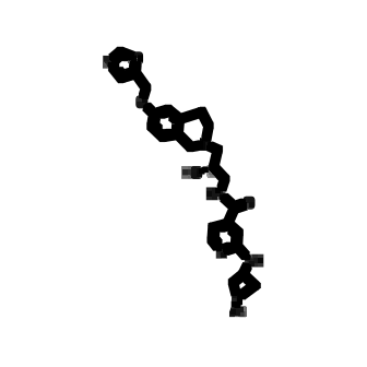 CC(=O)N1CC(Nc2cc(C(=O)NC[C@H](O)CN3CCc4cc(OCc5cnco5)ccc4C3)ccn2)C1